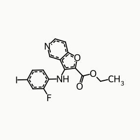 CCOC(=O)c1oc2ccncc2c1Nc1ccc(I)cc1F